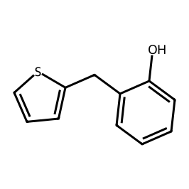 Oc1ccccc1Cc1cccs1